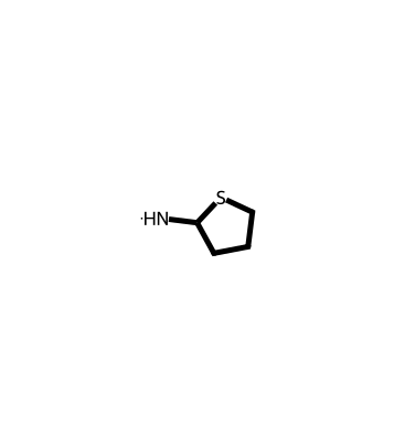 [NH]C1CCCS1